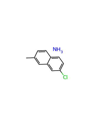 Cc1ccc2ccc(Cl)cc2c1.N